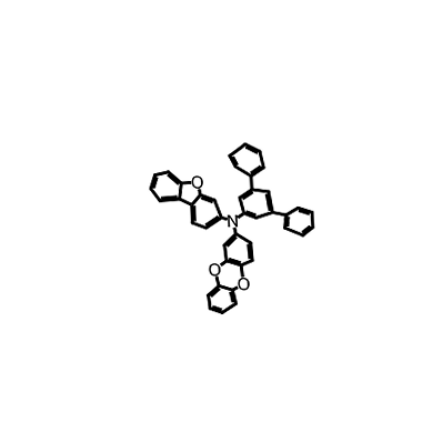 c1ccc(-c2cc(-c3ccccc3)cc(N(c3ccc4c(c3)Oc3ccccc3O4)c3ccc4c(c3)oc3ccccc34)c2)cc1